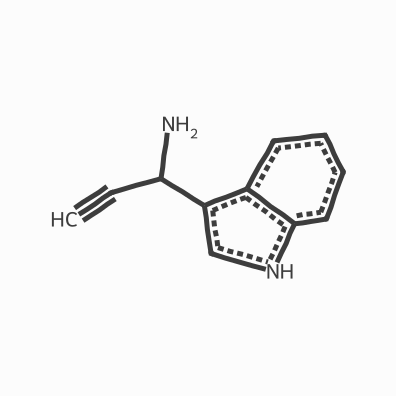 C#CC(N)c1c[nH]c2ccccc12